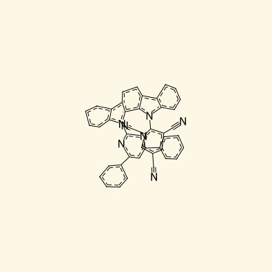 N#Cc1cc(C#N)c(-n2c3ccccc3c3ccc4c5ccccc5n(-c5nc(-c6ccccc6)cc(-c6ccccc6)n5)c4c32)c(C#N)c1